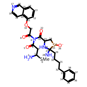 CSC(N)CC(=O)N(C(=O)COc1cccc2cnccc12)C(=O)C1C[S+]([O-])C(N)(CCCCc2ccccc2)N1